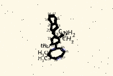 CC1(C)\C=C(c2cc(C(C)(C)N)c(C3=Cc4ccccc4C3)cc2C(C)(C)C)/C=C\C=C/C1